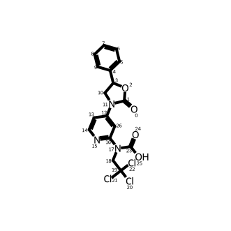 O=C1OC(c2ccccc2)CN1c1ccnc(N(CC(Cl)(Cl)Cl)C(=O)O)c1